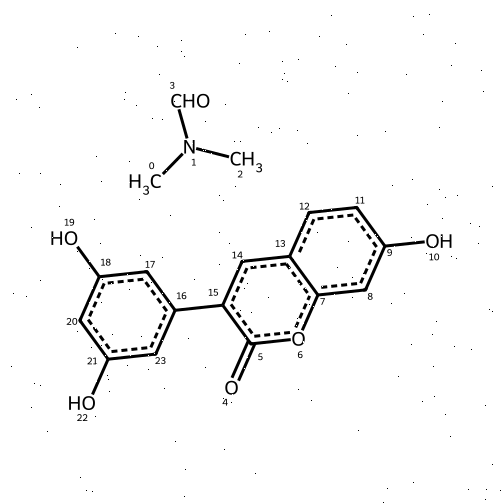 CN(C)C=O.O=c1oc2cc(O)ccc2cc1-c1cc(O)cc(O)c1